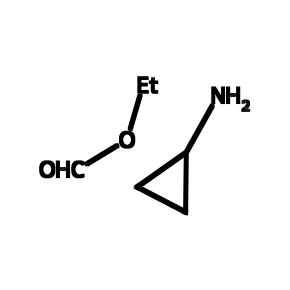 CCOC=O.NC1CC1